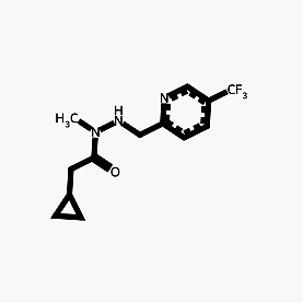 CN(NCc1ccc(C(F)(F)F)cn1)C(=O)CC1CC1